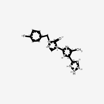 Cc1nc(-n2cnn(Cc3ccc(F)cc3)c2=O)sc1-c1nn[nH]n1